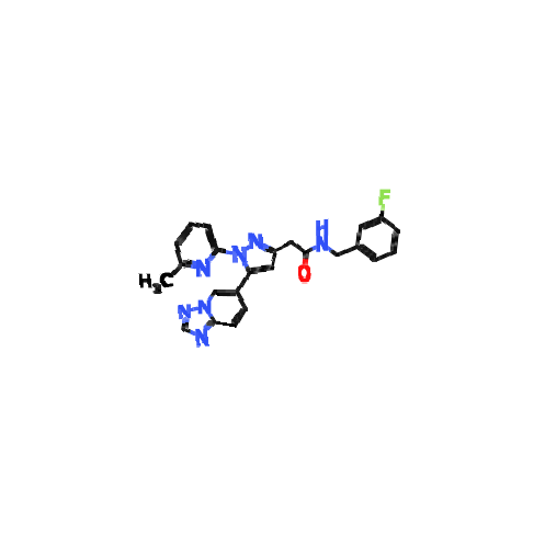 Cc1cccc(-n2nc(CC(=O)NCc3cccc(F)c3)cc2-c2ccc3ncnn3c2)n1